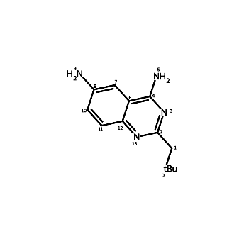 CC(C)(C)Cc1nc(N)c2cc(N)ccc2n1